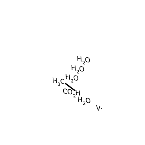 CC(=O)O.O.O.O.O.[V]